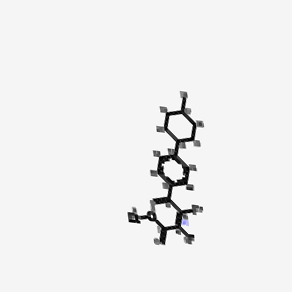 C=C(OCC)/C(F)=C(/F)C(=C)c1ccc(C2CCC(C)CC2)cc1